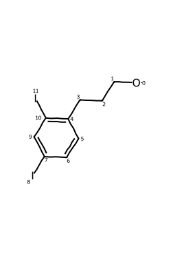 [O]CCCc1ccc(I)cc1I